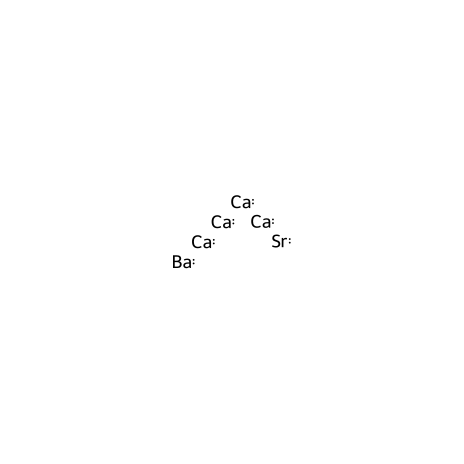 [Ba].[Ca].[Ca].[Ca].[Ca].[Sr]